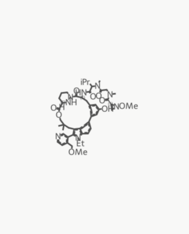 CCn1c(-c2cnccc2COC)c2c3cc(ccc31)-c1cc(O)cc(c1)C[C@H](NC(=O)C(C(C)C)N(C)C(=O)CN(C)C(=O)[C@@H]1CN1OC)C(=O)N1CCC[C@H](N1)C(=O)OCC(C)(C)C2